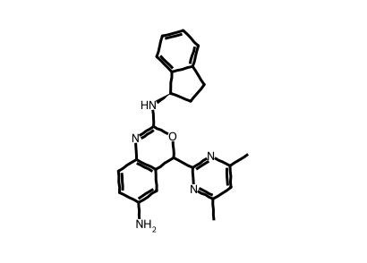 Cc1cc(C)nc(C2OC(N[C@@H]3CCc4ccccc43)=Nc3ccc(N)cc32)n1